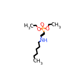 CCCCCCNC=CP(=O)(OCC)OCC